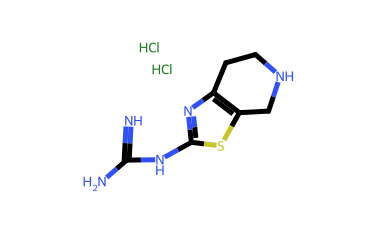 Cl.Cl.N=C(N)Nc1nc2c(s1)CNCC2